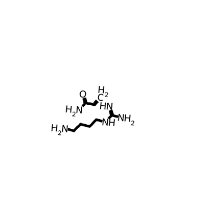 C=CC(N)=O.N=C(N)NCCCCN